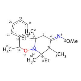 CCC1(C)CC(=NOC)C(C)C(C)(CC)N1OC(C)c1ccccc1